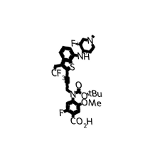 COc1cc(C(=O)O)c(F)cc1N(CC#Cc1sc2c(N[C@@H]3CCN(C)C[C@@H]3F)cccc2c1CC(F)(F)F)C(=O)OC(C)(C)C